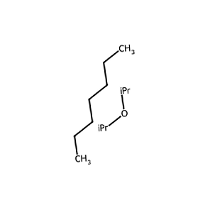 CC(C)OC(C)C.CCCCCCC